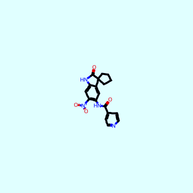 O=C(Nc1cc2c(cc1[N+](=O)[O-])NC(=O)C21CCCC1)c1ccncc1